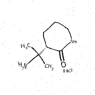 CC(C)(N)[C@@H]1CCCNC1=O.Cl